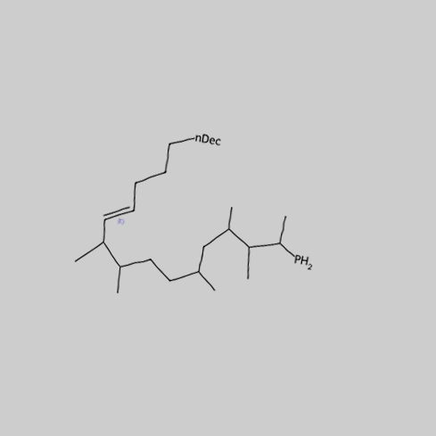 CCCCCCCCCCCCC/C=C/C(C)C(C)CCC(C)CC(C)C(C)C(C)P